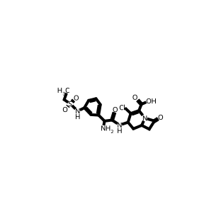 CCS(=O)(=O)Nc1cccc(C(N)C(=O)NC2CC3CC(=O)N3C(C(=O)O)=C2Cl)c1